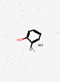 Oc1ccccc1C(F)(F)F.[KH]